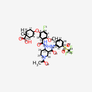 COc1cc(F)c(OC2CCC(C)(C(=O)O)CC2)cc1C(=O)NC1CCN(C(C)=O)CC1C(=O)Nc1cccc(S(=O)(=O)C(F)(F)F)c1